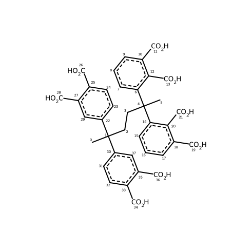 CC(CCC(C)(c1cccc(C(=O)O)c1C(=O)O)c1cccc(C(=O)O)c1C(=O)O)(c1ccc(C(=O)O)c(C(=O)O)c1)c1ccc(C(=O)O)c(C(=O)O)c1